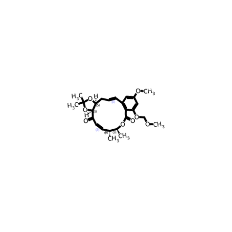 COCOc1cc(OC)cc2c1C(=O)O[C@@H](C)[C@H](C)/C=C\C(=O)[C@H]1OC(C)(C)O[C@H]1C/C=C/2